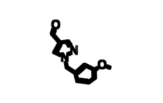 COc1cccc(Cn2cc(C=O)cn2)c1